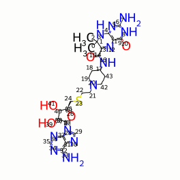 CC1(C)Nc2nc(N)[nH]c(=O)c2N=C1C(=O)NC1CCN(CCSC[C@H]2O[C@@H](n3cnc4c(N)ncnc43)[C@@H](O)C2O)CC1